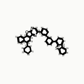 c1cc(-c2cccc(-c3cccc4c3sc3ccccc34)c2)cc(-c2cnc3oc4c5ccccc5c(C5CCCCC5)cc4c3n2)c1